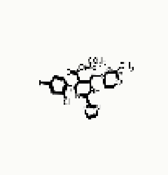 COC(=O)C1=C(CN2CCO[C@H](C)[C@H]2C(=O)O)NC(c2nccs2)=N[C@H]1c1ccc(F)cc1Cl